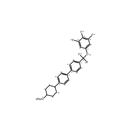 CCCCCC1CCC(c2ccc(-c3ccc(C(F)(F)Oc4cc(F)c(F)c(F)c4)cc3)cc2)CC1